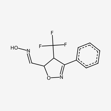 ON=CC1ON=C(c2ccccc2)C1C(F)(F)F